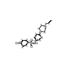 C=CCN1CCN(c2ccc(NS(=O)(=O)c3ccc(CC)cc3)cn2)CC1